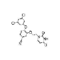 N#Cc1ccc(Oc2cc(Cl)cc(Cl)c2)c(OCCn2ccc(=O)[nH]c2=O)c1